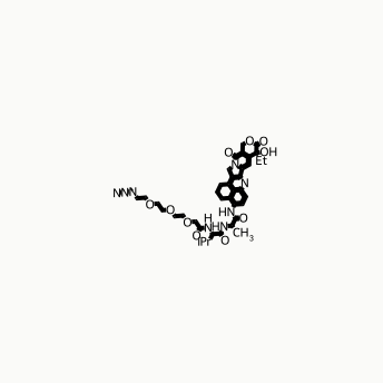 CC[C@@]1(O)C(=O)OCc2c1cc1n(c2=O)Cc2c-1nc1ccc(NC(=O)C(C)NC(=O)C(NC(=O)COCCOCCOCCN=[N+]=[N-])C(C)C)c3c1c2CCC3